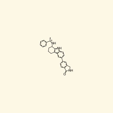 C[C@@H](NC1CCCc2c1[nH]c1ccc(-c3ccc4c(c3)CNC4=O)cc21)c1ccccc1